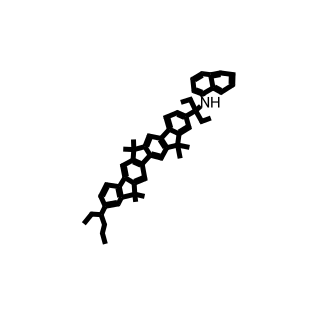 CCCC(CC)c1ccc2c(c1)C(C)(C)c1cc3c(cc1-2)C(C)(C)c1cc2c(cc1-3)C(C)(C)c1cc(C(CC)(CC)Nc3cccc4ccccc34)ccc1-2